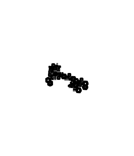 CNC(C)C(=O)N[C@H](C(=O)N[C@@H](Cc1ccc(NC(=O)c2ccc(C(=O)N[C@H]3C[C@@H](C(=O)N[C@@H]4CCCc5ccccc54)N(C(=O)C(NC(=O)[C@H](C)NC)C(C)(C)C)C3)cc2)cc1)C(=O)N[C@@H]1CCCc2ccccc21)C1CCCCC1